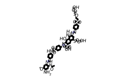 COc1cc(/N=N/c2ccc(NS(=O)(=O)c3ccc(/N=N/c4c(S(=O)(=O)O)cc5c(SOOO)cc(/N=N/c6ccc(S(=O)(=O)CCOSOOO)cc6)c(N)c5c4O)cc3)cc2)c(NC(C)=O)cc1N